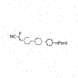 CCCCCc1ccc([C@H]2CC[C@H]([C@H]3CC[C@H](C=C(F)C#N)CC3)CC2)cc1